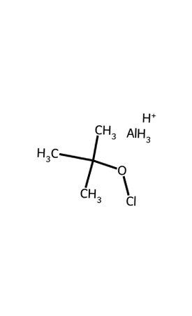 CC(C)(C)OCl.[AlH3].[H+]